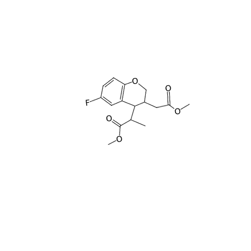 COC(=O)CC1COc2ccc(F)cc2C1C(C)C(=O)OC